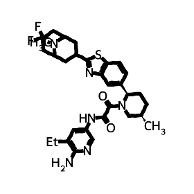 CCc1cc(NC(=O)C(=O)N2C[C@@H](C)CC[C@@H]2c2ccc3sc(C4CC5CC(F)(F)CC(C4)N5C)nc3c2)cnc1N